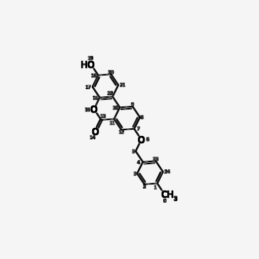 Cc1ccc(COc2ccc3c(c2)c(=O)oc2cc(O)ccc23)cc1